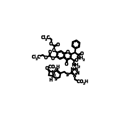 NC(=O)c1c(C(C(N)=O)c2ccccc2)oc2cc(OC(=O)OCC(Cl)(Cl)Cl)c(OC(=O)OCC(Cl)(Cl)Cl)cc2c1=O.O=C(O)Cn1nnnc1SCC1=C(C(=O)O)N2C(=O)C[C@@H]2SC1